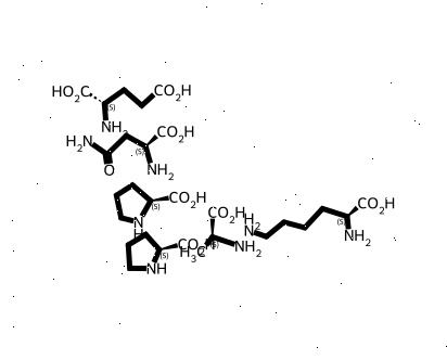 C[C@H](N)C(=O)O.NC(=O)C[C@H](N)C(=O)O.NCCCC[C@H](N)C(=O)O.N[C@@H](CCC(=O)O)C(=O)O.O=C(O)[C@@H]1CCCN1.O=C(O)[C@@H]1CCCN1